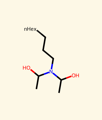 CCCCCCCCCN(C(C)O)C(C)O